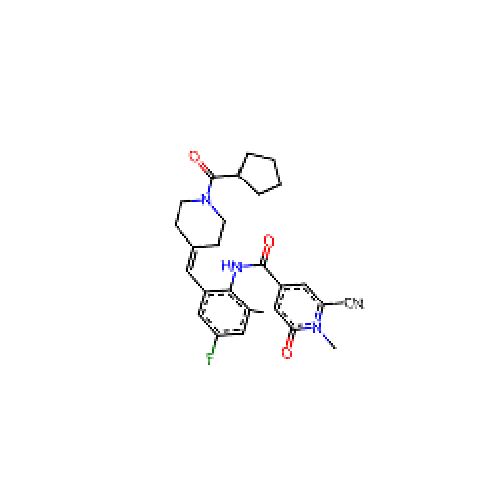 Cc1cc(F)cc(C=C2CCN(C(=O)C3CCCC3)CC2)c1NC(=O)c1cc(C#N)n(C)c(=O)c1